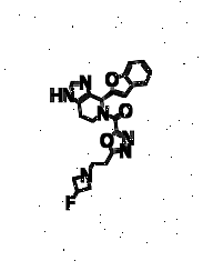 O=C(c1nnc(CCN2CC(F)C2)o1)N1CCc2[nH]cnc2[C@H]1c1cc2ccccc2o1